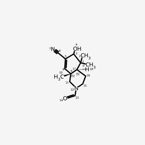 CC1(C)C(O)C(C#N)=C[C@@]2(C)CN(C=O)CC[C@H]12